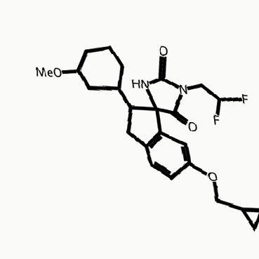 COC1CCCC(C2Cc3ccc(OCC4CC4)cc3C23NC(=O)N(CC(F)F)C3=O)C1